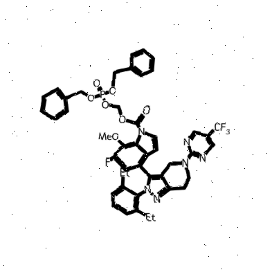 CCc1cccc(CC)c1-n1nc2c(c1-c1cc(F)c(OC)c3c1ccn3C(=O)OCOP(=O)(OCc1ccccc1)OCc1ccccc1)CN(c1ncc(C(F)(F)F)cn1)CC2